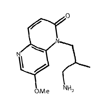 COc1cnc2ccc(=O)n(CC(C)CN)c2c1